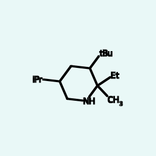 CCC1(C)NCC(C(C)C)CC1C(C)(C)C